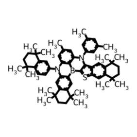 Cc1cc(C)cc(N2c3cc(C)cc4c3B(c3cc5c(cc3N4c3ccc4c(c3)C(C)(C)CCC4(C)C)C(C)(C)CCC5(C)C)c3sc4cc5c(cc4c32)C(C)(C)CCC5(C)C)c1